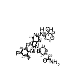 C[C@H]1COCC[C@@H]1Nc1ncc2nc(Nc3c(F)cc(F)cc3F)n([C@H]3CC[C@@H](CC(N)=O)CC3)c2n1